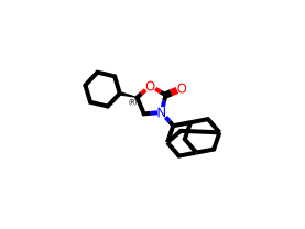 O=C1O[C@H](C2CCCCC2)CN1C1C2CC3CC(C2)CC1C3